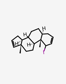 C[C@]12C(I)C=CC[C@@H]1CC[C@@H]1[C@@H]2CC[C@]2(C)C=CC[C@@H]12